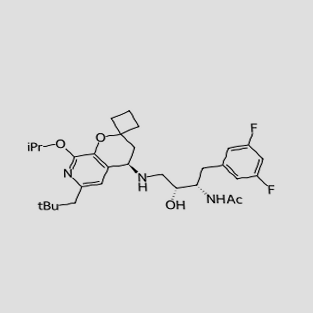 CC(=O)N[C@@H](Cc1cc(F)cc(F)c1)[C@H](O)CN[C@@H]1CC2(CCC2)Oc2c1cc(CC(C)(C)C)nc2OC(C)C